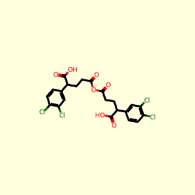 O=C(CCC(C(=O)O)c1ccc(Cl)c(Cl)c1)OC(=O)CCC(C(=O)O)c1ccc(Cl)c(Cl)c1